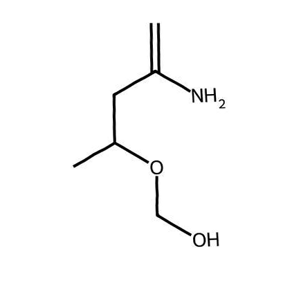 C=C(N)CC(C)OCO